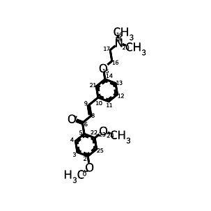 COc1ccc(C(=O)C=Cc2cccc(OCCN(C)C)c2)c(OC)c1